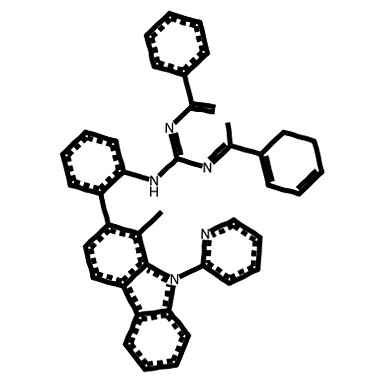 C=C(/N=C(\N=C(/C)C1=CC=CCC1)Nc1ccccc1-c1ccc2c3ccccc3n(-c3ccccn3)c2c1C)c1ccccc1